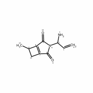 C=CC(N)N1C(=O)C2=C(C1=O)C(C)C2